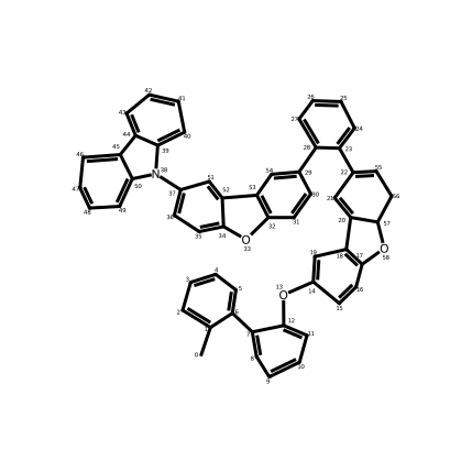 Cc1ccccc1-c1ccccc1Oc1ccc2c(c1)C1=CC(c3ccccc3-c3ccc4oc5ccc(-n6c7ccccc7c7ccccc76)cc5c4c3)=CCC1O2